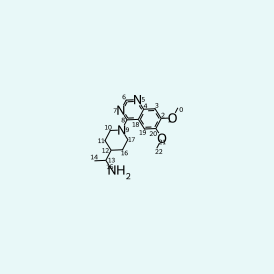 COc1cc2ncnc(N3CCC(C(C)N)CC3)c2cc1OC